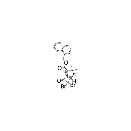 CC1(C)S[C@H]2N(C(=O)C2(Br)Br)[C@H]1C(=O)OCc1cccc2ccccc12